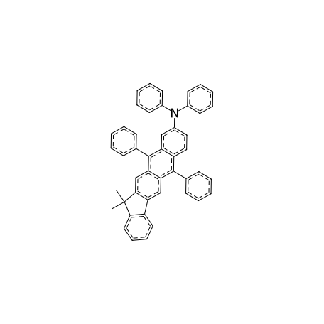 CC1(C)c2ccccc2-c2cc3c(-c4ccccc4)c4ccc(N(c5ccccc5)c5ccccc5)cc4c(-c4ccccc4)c3cc21